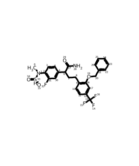 CN(c1ccc(C(CCc2ccc(C(F)(F)F)cc2OCc2ccccc2)C(N)=O)cc1F)[SH](=O)=O